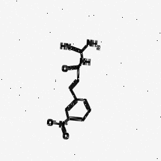 N=C(N)NC(=O)C=Cc1cccc([N+](=O)[O-])c1